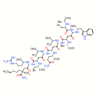 C=CCCC[C@](C)(CC(=O)[C@@H](NC(=O)[C@@H](CC(=O)[C@@H](NC(=O)[C@@H](CC(=O)[C@@H](NC(=O)[C@@H](CC(=O)[C@@H](NC(=O)[C@@H](CC(C)=O)N[C@H](C=O)[C@@H](C)CC)N[C@H](C=O)Cc1c[nH]c2ccccc12)N[C@H](C=O)[C@@H](C)CC)N[C@@H](C)C=O)N[C@H](C=O)CCC(N)=O)N[C@@H](C)C=O)N[C@H](C=O)CC(C)C)N[C@H](C=O)CCCNC(=N)N)C(N)=O